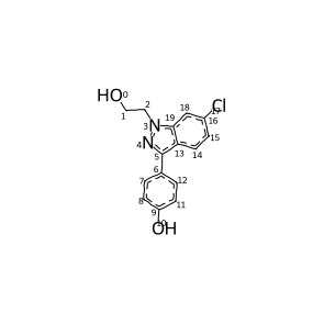 OCCn1nc(-c2ccc(O)cc2)c2ccc(Cl)cc21